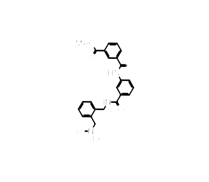 CCN(CC)Cc1ccccc1CNC(=O)c1cccc(NC(=O)c2cccc(C(=O)OC)c2)c1